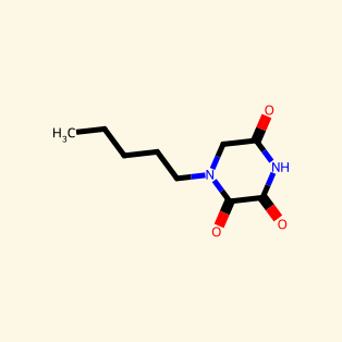 CCCCCN1CC(=O)NC(=O)C1=O